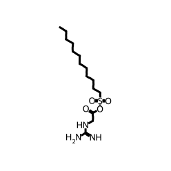 CCCCCCCCCCCCS(=O)(=O)OC(=O)CNC(=N)N